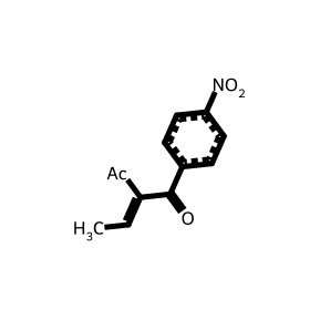 C/C=C(\C(C)=O)C(=O)c1ccc([N+](=O)[O-])cc1